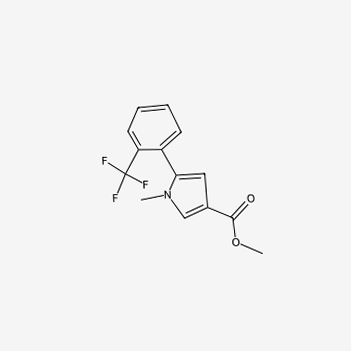 COC(=O)c1cc(-c2ccccc2C(F)(F)F)n(C)c1